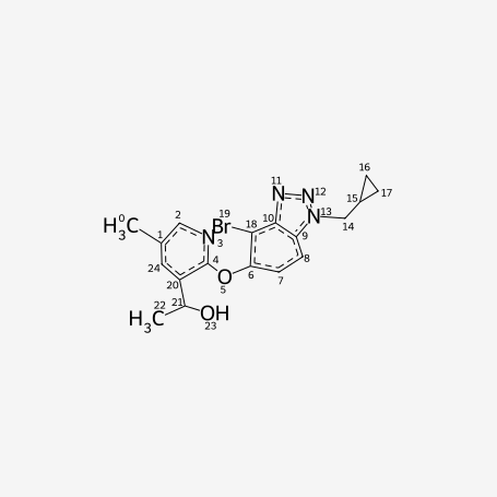 Cc1cnc(Oc2ccc3c(nnn3CC3CC3)c2Br)c(C(C)O)c1